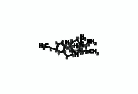 CCc1ccc2c(c1)CC[C@@H]1[C@@H]2CC[C@]2(C)C(N)C(C)C[C@@H]12